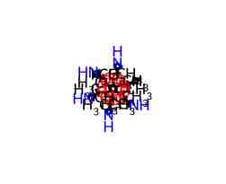 CC(C)(OC(=O)c1c(C(=O)OC(C)(C)C2CNC2)c(C(=O)OC(C)(C)C2CNC2)c(C(=O)OC(C)(C)C2CNC2)c(C(=O)OC(C)(C)C2CNC2)c1C(=O)OC(C)(C)C1CNC1)C1CCC1